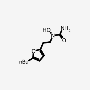 CCCCc1ccc(CCN(O)C(N)=O)o1